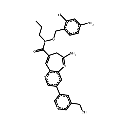 CCCN(OCc1ccc(N)cc1Cl)C(=O)C1=Cc2ncc(-c3cncc(CO)c3)cc2N=C(N)C1